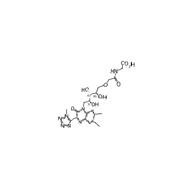 Cc1cc2nc(-c3nnnn3C)c(=O)n(C[C@H](O)[C@H](O)[C@H](O)COCC(=O)NCC(=O)O)c2cc1C